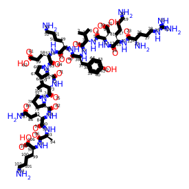 CC(C)[C@H](NC(=O)[C@H](CC(=O)O)NC(=O)[C@H](CCCCN)NC(=O)[C@@H](N)CCCNC(=N)N)C(=O)N[C@@H](Cc1ccc(O)cc1)C(=O)N[C@@H](CCCCN)C(=O)N[C@@H](CCC(=O)O)C(=O)N1CCC[C@H]1C(=O)N[C@H](C(=O)N1CCC[C@H]1C(=O)N[C@@H](CCC(N)=O)C(=O)N[C@@H](C)C(=O)N[C@@H](CCCCN)C(=O)O)C(C)C